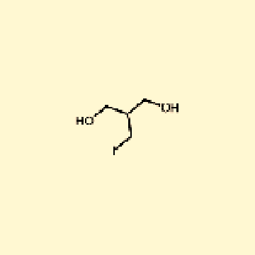 OCC(CO)CI